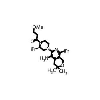 COCCC(=O)N1CCN(c2nc(C(C)C)c3c(c2N)CC(C)(C)OC3)C[C@H]1C(C)C